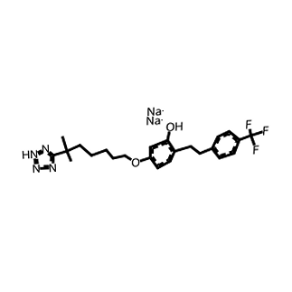 CC(C)(CCCCCOc1ccc(CCc2ccc(C(F)(F)F)cc2)c(O)c1)c1nn[nH]n1.[Na].[Na]